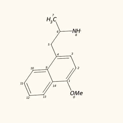 COc1ccc(CC(C)[NH])c2ccccc12